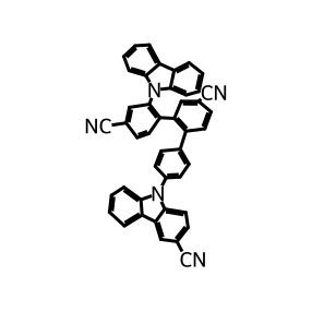 N#Cc1ccc(-c2ccc(-n3c4ccccc4c4cc(C#N)ccc43)cc2)c(-c2ccc(C#N)cc2-n2c3ccccc3c3ccccc32)c1